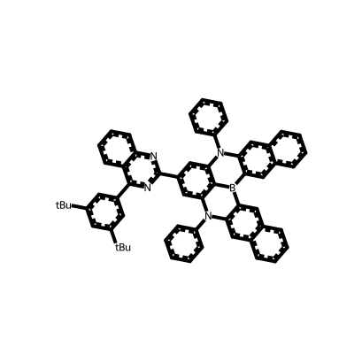 CC(C)(C)c1cc(-c2nc(-c3cc4c5c(c3)N(c3ccccc3)c3cc6ccccc6cc3B5c3cc5ccccc5cc3N4c3ccccc3)nc3ccccc23)cc(C(C)(C)C)c1